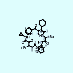 CCCC(NC(=O)[C@@H]1[C@H]2CC[C@H](C2)[C@@H]1NC(=O)[C@@H](NC(=O)[C@@H](NC(=O)c1cnccn1)C1CCCCC1)C(C)(C)C)C(=O)C(=O)NC1CC1